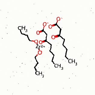 CCCCCC(=O)CC(=O)[O-].CCCCCC(=O)CC(=O)[O-].CCCC[O][Zr+2][O]CCCC